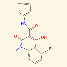 CCc1cccc2c1c(O)c(C(=O)Nc1ccccc1)c(=O)n2C